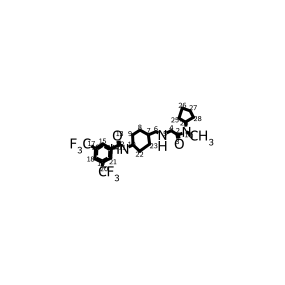 CN(C(=O)CNCC1CCC(NC(=O)c2cc(C(F)(F)F)cc(C(F)(F)F)c2)CC1)C1CCCC1